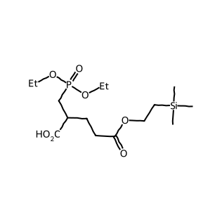 CCOP(=O)(CC(CCC(=O)OCC[Si](C)(C)C)C(=O)O)OCC